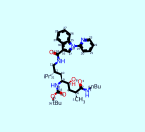 CCCCNC(=O)[C@H](C)C[C@H](O)[C@H](C[C@@H](CNC(=O)c1cn(-c2ccccn2)c2ccccc12)C(C)C)NC(=O)OC(C)(C)C